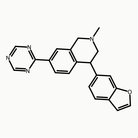 CN1Cc2cc(-c3ncncn3)ccc2C(c2ccc3ccoc3c2)C1